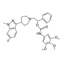 COc1cc(NC(=O)OC(CN2CCC(c3nn(C)c4cc(F)ccc34)CC2)c2ccccc2)cc(OC)c1OC